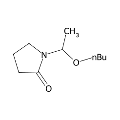 CCCCOC(C)N1CCCC1=O